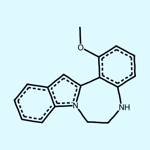 COc1cccc2c1-c1cc3ccccc3n1CCN2